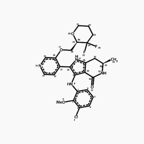 COc1c(Cl)cccc1Nc1c(-c2ccncc2OC[C@H]2OCCCC2(F)F)[nH]c2c1C(=O)N[C@H](C)C2